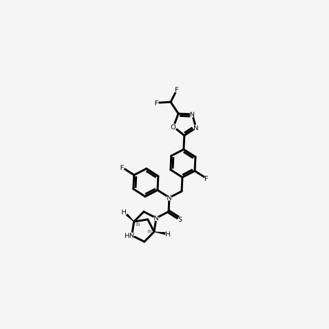 Fc1ccc(N(Cc2ccc(-c3nnc(C(F)F)o3)cc2F)C(=S)N2C[C@@H]3C[C@H]2CN3)cc1